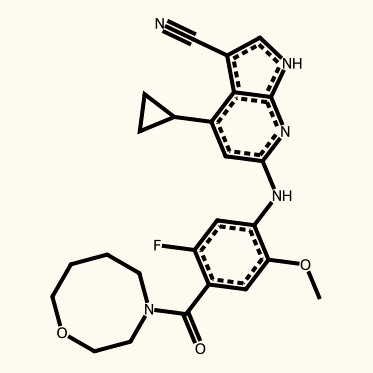 COc1cc(C(=O)N2CCCCOCC2)c(F)cc1Nc1cc(C2CC2)c2c(C#N)c[nH]c2n1